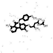 COc1ccc(Cn2c(=O)c3c(C)nccc3c3cc(Br)c(OCC(C)CC(C)NC(=O)O)cc32)cc1